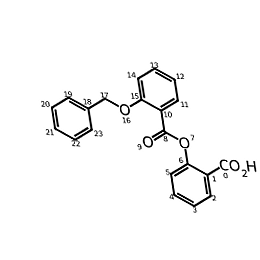 O=C(O)c1ccccc1OC(=O)c1ccccc1OCc1ccccc1